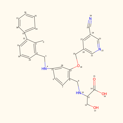 Cc1c(CNc2ccc(CNC(CO)C(=O)O)c(OCc3cncc(C#N)c3)c2)cccc1-c1ccccc1